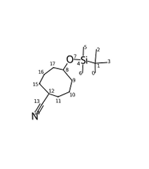 CC(C)(C)[Si](C)(C)OC1CCCC(C#N)CCC1